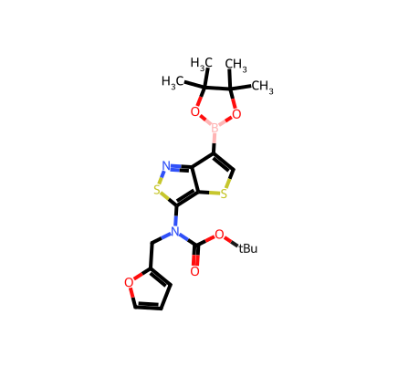 CC(C)(C)OC(=O)N(Cc1ccco1)c1snc2c(B3OC(C)(C)C(C)(C)O3)csc12